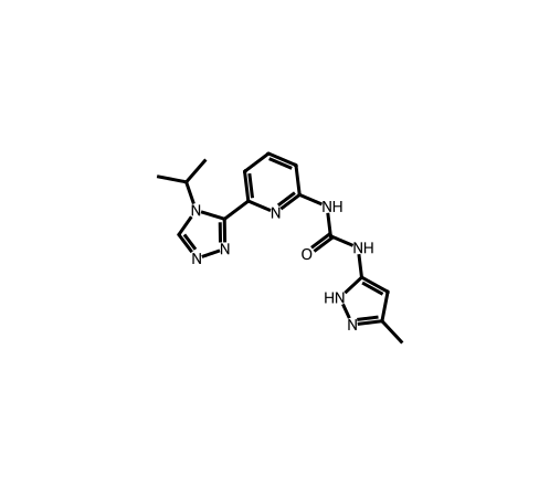 Cc1cc(NC(=O)Nc2cccc(-c3nncn3C(C)C)n2)[nH]n1